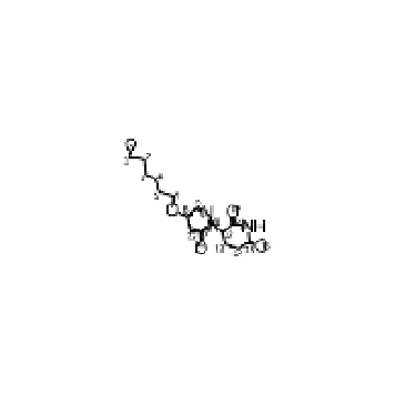 O=CCCCCCOc1cnn(C2CCC(=O)NC2=O)c(=O)c1